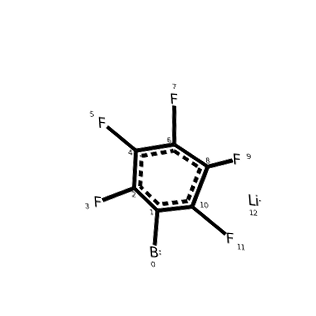 [B]c1c(F)c(F)c(F)c(F)c1F.[Li]